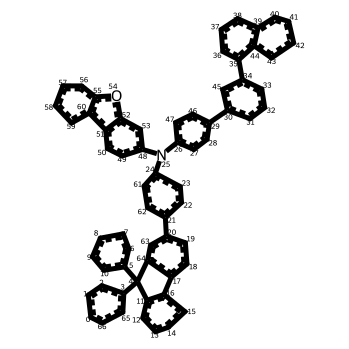 c1ccc(C2(c3ccccc3)c3ccccc3-c3ccc(-c4ccc(N(c5ccc(-c6cccc(-c7cccc8ccccc78)c6)cc5)c5ccc6c(c5)oc5ccccc56)cc4)cc32)cc1